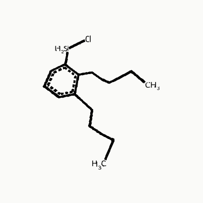 CCCCc1cccc([SiH2]Cl)c1CCCC